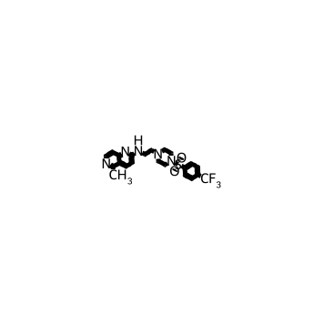 Cc1nccc2nc(NCCN3CCN(S(=O)(=O)c4ccc(C(F)(F)F)cc4)CC3)ccc12